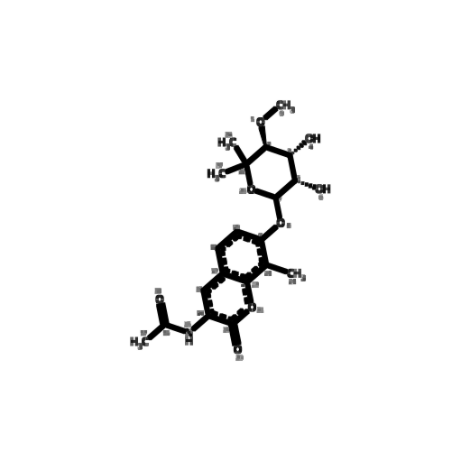 CO[C@H]1[C@H](O)[C@H](O)C(Oc2ccc3cc(NC(C)=O)c(=O)oc3c2C)OC1(C)C